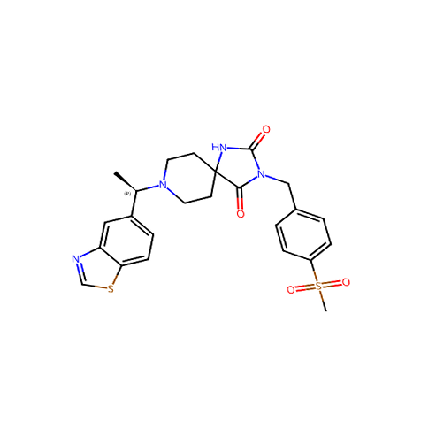 C[C@H](c1ccc2scnc2c1)N1CCC2(CC1)NC(=O)N(Cc1ccc(S(C)(=O)=O)cc1)C2=O